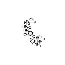 COC(=N)c1c(N)ncnc1Oc1ccc(NC(=O)Nc2ncc(C)s2)c(Cl)c1